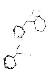 OC(COc1cc(CC2CCCCC23OCCO3)ccn1)c1ccccc1